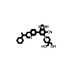 CC(C1C=Nc2cc(-c3cc(N4CCC(CO)(CO)CC4)c(C#N)c4[nH]cnc34)ccc2C1)C1CCCCC1